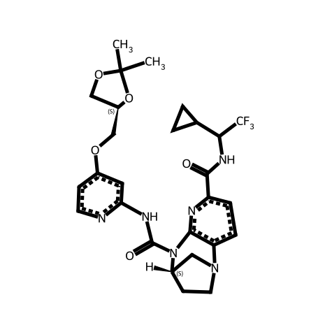 CC1(C)OC[C@H](COc2ccnc(NC(=O)N3c4nc(C(=O)NC(C5CC5)C(F)(F)F)ccc4N4CC[C@H]3C4)c2)O1